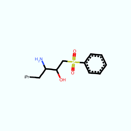 CC(C)CC(N)C(O)CS(=O)(=O)c1ccccc1